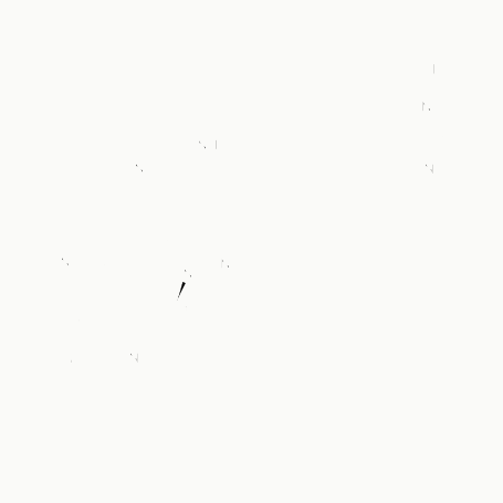 C=CC(=O)N1CC[C@H](n2nc(C#Cc3cc4ncn(CC)c4cc3F)c3c(N)ncc(-c4cscn4)c32)C1